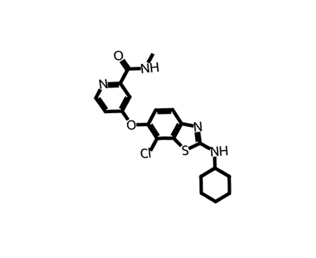 CNC(=O)c1cc(Oc2ccc3nc(NC4CCCCC4)sc3c2Cl)ccn1